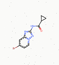 O=C(Nc1nc2cc(Br)ccn2n1)C1CC1